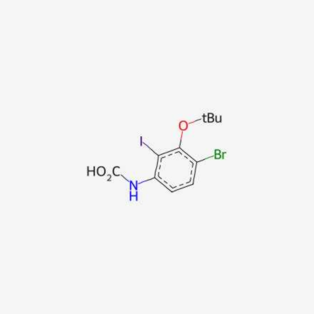 CC(C)(C)Oc1c(Br)ccc(NC(=O)O)c1I